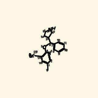 Cc1cnc(O[C@H](c2ccccc2)C2CCNC2)c(Br)c1